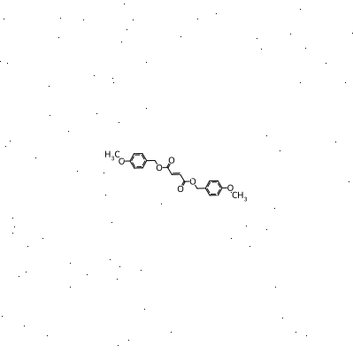 COc1ccc(COC(=O)/C=C/C(=O)OCc2ccc(OC)cc2)cc1